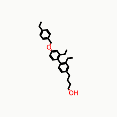 CCc1ccc(COc2ccc(-c3ccc(CCCCO)cc3CC)c(CC)c2)cc1